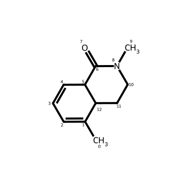 CC1=CC=CC2C(=O)N(C)CCC12